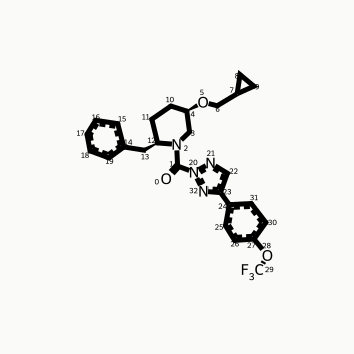 O=C(N1C[C@H](OCC2CC2)CC[C@@H]1Cc1ccccc1)n1ncc(-c2ccc(OC(F)(F)F)cc2)n1